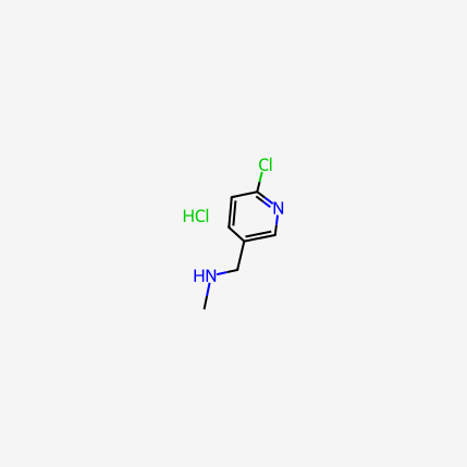 CNCc1ccc(Cl)nc1.Cl